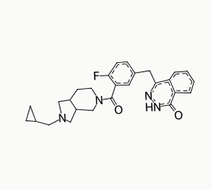 O=C(c1cc(Cc2n[nH]c(=O)c3ccccc23)ccc1F)N1CCC2CN(CC3CC3)CC2C1